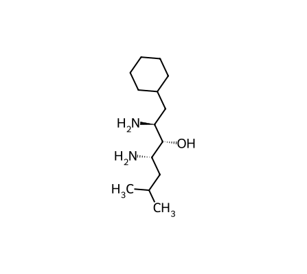 CC(C)C[C@H](N)[C@@H](O)[C@@H](N)CC1CCCCC1